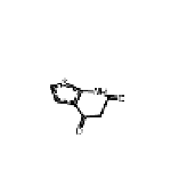 O=C1CC(=O)c2ccsc2N1